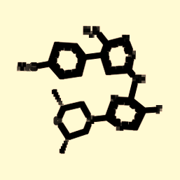 COc1ccc(-c2cc(Nc3nc(N4C[C@@H](C)O[C@@H](C)C4)ncc3F)nnc2N)cc1